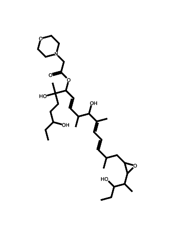 CCC(O)CCC(C)(O)C(C=CC(C)C(O)C(C)=CC=CC(C)CC1OC1C(C)C(O)CC)OC(=O)CN1CCOCC1